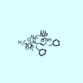 CN(C)S(=O)(=O)N[C@@H](/C=C/[C@@H](Cc1ccccc1)NS(=O)(=O)N(C)C)Cc1ccccc1